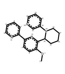 COc1ccc(-c2ccccn2)nc1C1CCCCN1c1cc[c]nc1